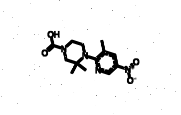 Cc1cc([N+](=O)[O-])cnc1N1CCN(C(=O)O)CC1(C)C